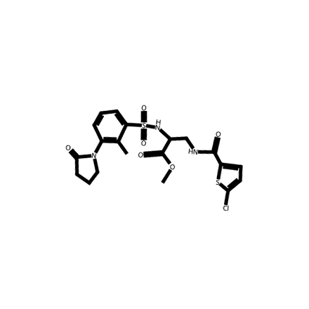 COC(=O)C(CNC(=O)c1ccc(Cl)s1)NS(=O)(=O)c1cccc(N2CCCC2=O)c1C